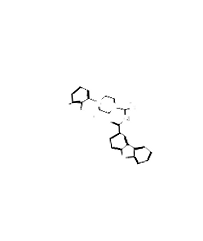 CCCC(NC(=O)c1ccc2oc3ccccc3c2c1)N1CCN(c2cccc(C)c2C)CC1.Cl